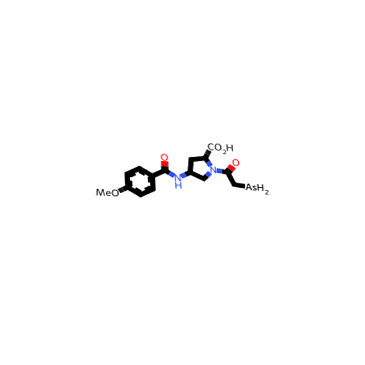 COc1ccc(C(=O)NC2CC(C(=O)O)N(C(=O)C[AsH2])C2)cc1